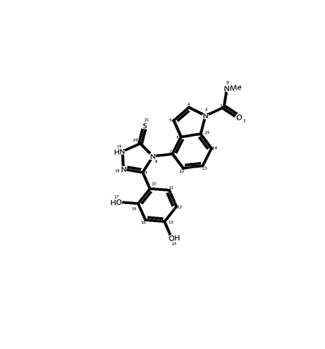 CNC(=O)n1ccc2c(-n3c(-c4ccc(O)cc4O)n[nH]c3=S)cccc21